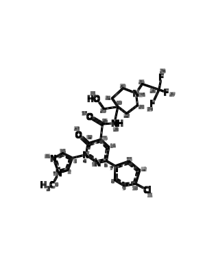 Cn1cc(-n2nc(-c3ccc(Cl)cc3)cc(C(=O)NC3(CO)CCN(CC(F)(F)F)CC3)c2=O)cn1